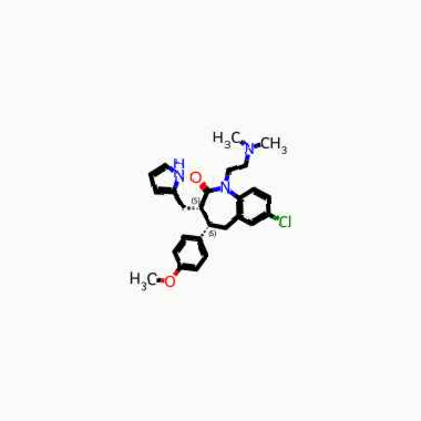 COc1ccc([C@H]2Cc3cc(Cl)ccc3N(CCN(C)C)C(=O)[C@H]2Cc2ccc[nH]2)cc1